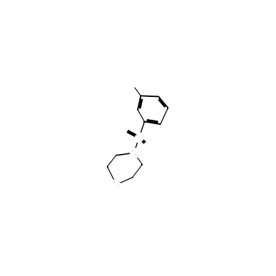 O=S(=O)(c1cccc(F)c1)N1CCNCC1